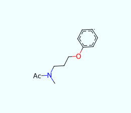 CC(=O)N(C)CCCOc1cc[c]cc1